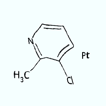 Cc1ncccc1Cl.[Pt]